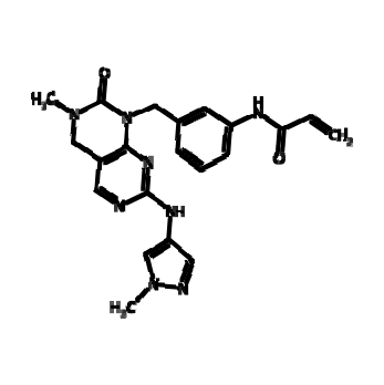 C=CC(=O)Nc1cccc(CN2C(=O)N(C)Cc3cnc(Nc4cnn(C)c4)nc32)c1